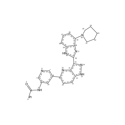 CC(C)C(=O)Nc1cncc(-c2ccc3[nH]nc(-c4nc5c(N6CCCCC6)cccc5[nH]4)c3n2)c1